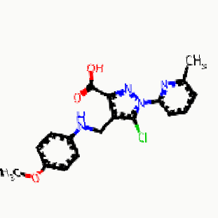 COc1ccc(NCc2c(C(=O)O)nn(-c3cccc(C)n3)c2Cl)cc1